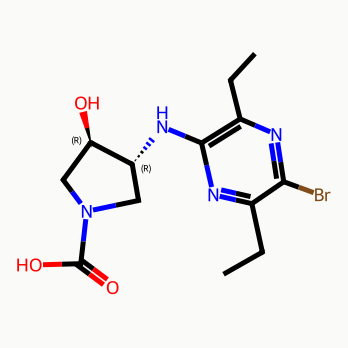 CCc1nc(N[C@@H]2CN(C(=O)O)C[C@H]2O)c(CC)nc1Br